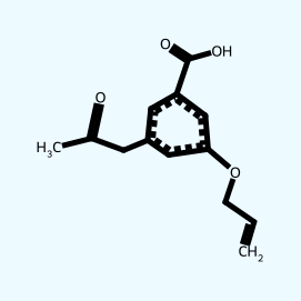 C=CCOc1cc(CC(C)=O)cc(C(=O)O)c1